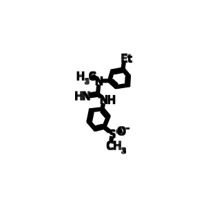 CCc1cccc(N(C)C(=N)Nc2cccc([S+](C)[O-])c2)c1